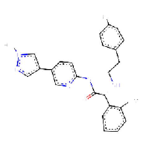 COc1ccccc1[C@@H](NCCc1ccc(C#N)cc1)C(=O)Nc1ccc(-c2cnn(C)c2)cn1